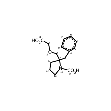 O=C(O)COCC1(Cc2ccccc2)CCCN1C(=O)O